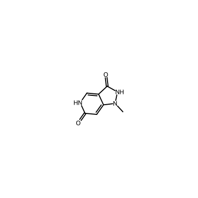 Cn1[nH]c(=O)c2c[nH]c(=O)cc21